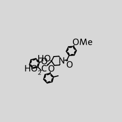 COc1ccc(C(=O)N2CCC(O)(C(Oc3ccccc3C)(Oc3ccccc3C)C(=O)O)CC2)cc1